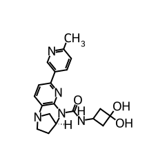 Cc1ccc(-c2ccc3c(n2)N(C(=O)NC2CC(O)(O)C2)[C@H]2CCN3C2)cn1